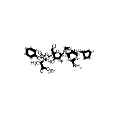 CC(C)OC(=O)[C@H](C)NP(=O)(OC[C@@]1(CCl)O[C@@H](n2cnc3c(NC4CCCC4)nc(N)nc32)[C@H](F)[C@@H]1O)Oc1ccccc1